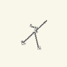 CCCCCCCCCCCCC(CCC(=O)OC(CCCCCCCCCCCCCCC(=O)O)CCCCCCCCCCCCCCC(=O)O)OC(=O)OCCCN(C)CC